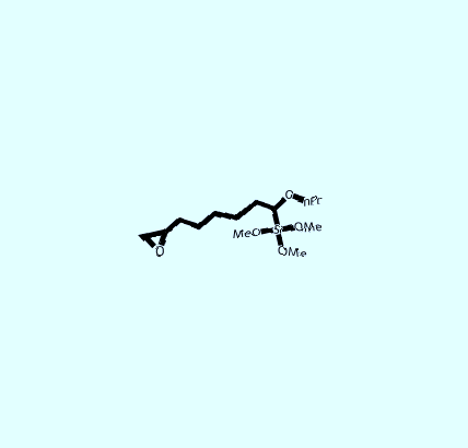 CCCOC(CCCCCC1CO1)[Si](OC)(OC)OC